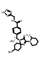 CCCC[C@H](c1ccc(C(=O)NCc2nn[nH]n2)cc1)N1C(=O)C(N2CCCCC2C)=NC12CCC(C(C)(C)C)CC2